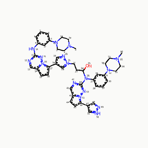 CN1CCN(c2cccc(Nc3ncc4ccc(-c5cnn(CCC(O)N(c6cccc(N7CCN(C)CC7)c6)c6ncc7ccc(-c8cn[nH]c8)n7n6)c5)n4n3)c2)CC1